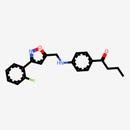 CCCC(=O)c1ccc(NCc2cc(-c3ccccc3F)no2)cc1